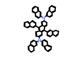 C1=Cc2ccc(-c3c4c(c(-c5ccc6ccccc6c5)c5ccc(N(c6ccc7c(c6)CCC=C7)c6ccc7ccccc7c6)cc35)=CC(N(c3ccc5ccccc5c3)c3ccc5ccccc5c3)CC=4)cc2CC1